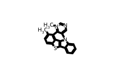 Cc1ccc2sc3c4ccccc4n4c5cnc[n+](C)c5c1c2c34